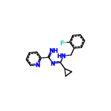 N=C(/N=C(\NCc1ccccc1F)C1CC1)c1ccccn1